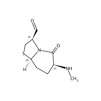 CN[C@H]1CC[C@H]2SC[C@@H](C=O)N2C1=O